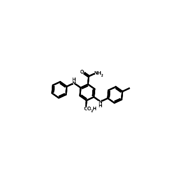 Cc1ccc(Nc2cc(C(N)=O)c(Nc3ccccc3)cc2C(=O)O)cc1